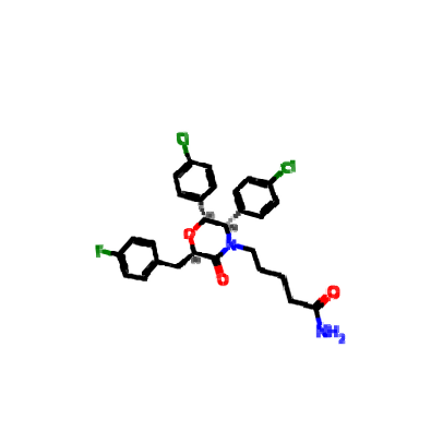 NC(=O)CCCCN1C(=O)[C@@H](Cc2ccc(F)cc2)O[C@H](c2ccc(Cl)cc2)[C@@H]1c1ccc(Cl)cc1